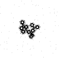 c1ccc(N(c2ccccc2)c2ccc(C3(c4ccc(N(c5ccccc5)c5cccc6c5c5ccccc5n6-c5ccccc5)cc4)C4CC5CC(C4)CC3C5)cc2)cc1